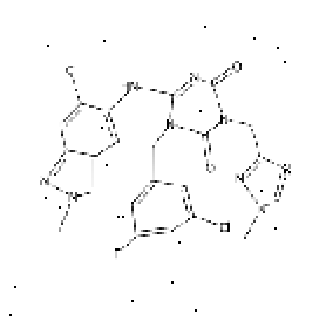 Cn1cnc(Cn2c(=O)nc(Nc3cc4cn(C)nc4cc3Cl)n(Cc3cc(F)cc(Cl)c3)c2=O)n1